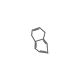 [c]1ccc2c(c1)CC=CC2